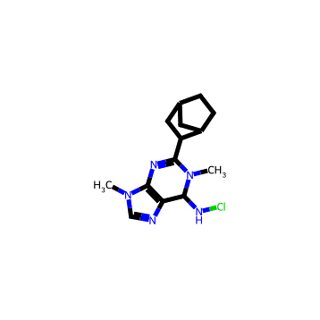 CN1C(C2CC3CCC2C3)=Nc2c(ncn2C)C1NCl